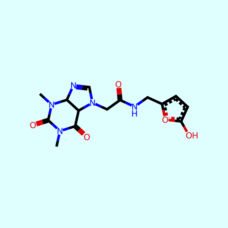 CN1C(=O)C2C(N=CN2CC(=O)NCc2ccc(O)o2)N(C)C1=O